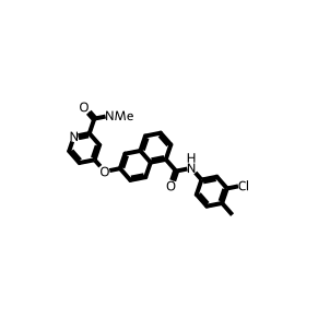 CNC(=O)c1cc(Oc2ccc3c(C(=O)Nc4ccc(C)c(Cl)c4)cccc3c2)ccn1